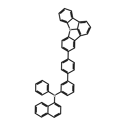 c1ccc(N(c2cccc(-c3ccc(-c4ccc5c(c4)c4cccc6c7ccccc7n5c64)cc3)c2)c2cccc3ccccc23)cc1